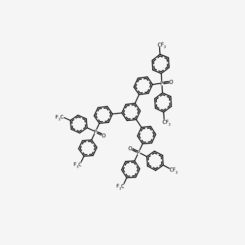 O=P(c1ccc(C(F)(F)F)cc1)(c1ccc(C(F)(F)F)cc1)c1cccc(-c2cc(-c3cccc(P(=O)(c4ccc(C(F)(F)F)cc4)c4ccc(C(F)(F)F)cc4)c3)cc(-c3cccc(P(=O)(c4ccc(C(F)(F)F)cc4)c4ccc(C(F)(F)F)cc4)c3)c2)c1